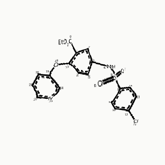 CCOC(=O)c1cc(NS(=O)(=O)c2ccc(Cl)cc2)ccc1Oc1cccnc1